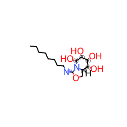 CCCCCCCC/N=C1/OC[C@@H]2[C@@H](O)[C@H](O)[C@@H](O)[C@@H](O)N12